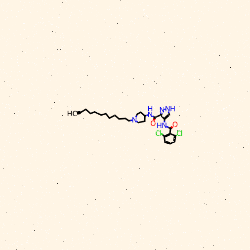 C#CCCCCCCCCCCN1CCC(NC(=O)c2n[nH]cc2NC(=O)c2c(Cl)cccc2Cl)CC1